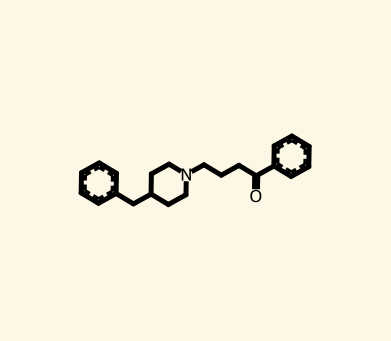 O=C(CCCN1CCC(Cc2ccccc2)CC1)c1ccccc1